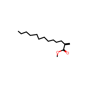 C=C(CCCCCCCCCCC)C(=O)OC